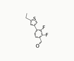 CCc1cc(-c2ccc(C=O)c(F)c2F)cs1